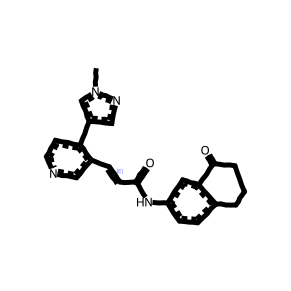 Cn1cc(-c2ccncc2/C=C/C(=O)Nc2ccc3c(c2)C(=O)CCC3)cn1